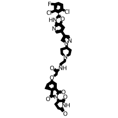 O=C(COc1ccc2c(c1)C(=O)N(C1CCC(=O)NC1=O)C2=O)NCCN1CCC(n2cc(-c3cnc4c(c3)O[C@@H](c3c(Cl)ccc(F)c3Cl)N4)cn2)CC1